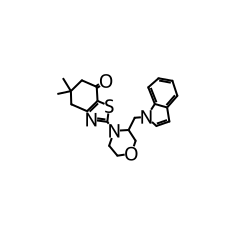 CC1(C)CC(=O)c2sc(N3CCOCC3Cn3ccc4ccccc43)nc2C1